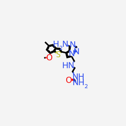 COc1cc(C)cc2cc(-c3cc(CNCCNC(N)=O)n4ncnc(N)c34)sc12